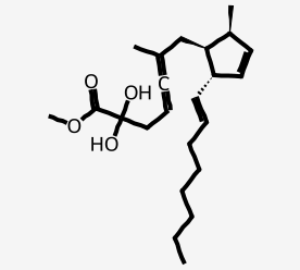 CCCCCCC=C[C@H]1C=C[C@H](C)[C@@H]1CC(C)=C=CCC(O)(O)C(=O)OC